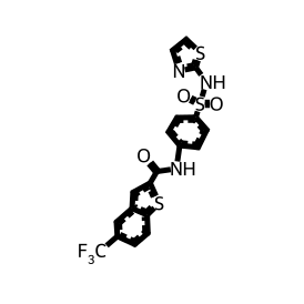 O=C(Nc1ccc(S(=O)(=O)Nc2nccs2)cc1)c1cc2cc(C(F)(F)F)ccc2s1